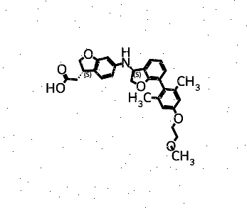 COCCOc1cc(C)c(-c2cccc3c2OC[C@H]3Nc2ccc3c(c2)OC[C@H]3CC(=O)O)c(C)c1